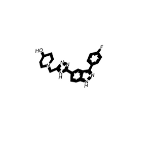 OC1CCN(Cc2nnc(-c3ccc4[nH]nc(-c5ccc(F)cc5)c4c3)[nH]2)CC1